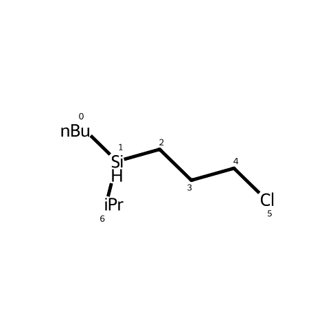 CCCC[SiH](CCCCl)C(C)C